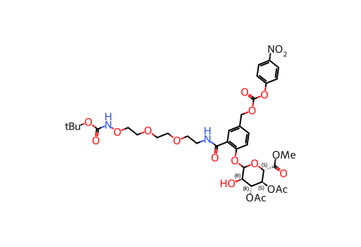 COC(=O)[C@H]1OC(Oc2ccc(COC(=O)Oc3ccc([N+](=O)[O-])cc3)cc2C(=O)NCCOCCOCCONC(=O)OC(C)(C)C)[C@H](O)[C@@H](OC(C)=O)[C@@H]1OC(C)=O